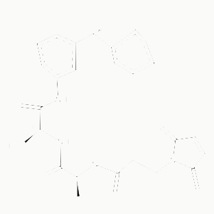 C[C@H](c1ccccc1)c1cccc(NC(=O)[C@H](C)NC(=O)[C@H](C)NC(=O)CCN2C(=O)C=CC2=O)c1